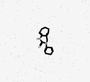 O=C1NC2=CCCCC=C2CN1C1=CCCC=C1